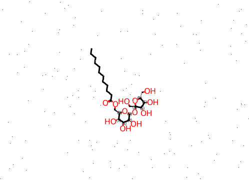 CCCCCCCCCCCC(=O)OC[C@H]1O[C@H](O[C@]2(CO)O[C@H](CO)[C@@H](O)[C@@H]2O)[C@H](O)[C@@H](O)[C@@H]1O